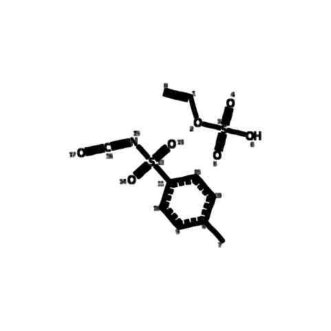 C=COS(=O)(=O)O.Cc1ccc(S(=O)(=O)N=C=O)cc1